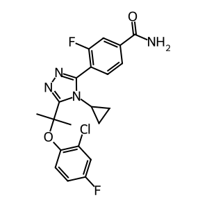 CC(C)(Oc1ccc(F)cc1Cl)c1nnc(-c2ccc(C(N)=O)cc2F)n1C1CC1